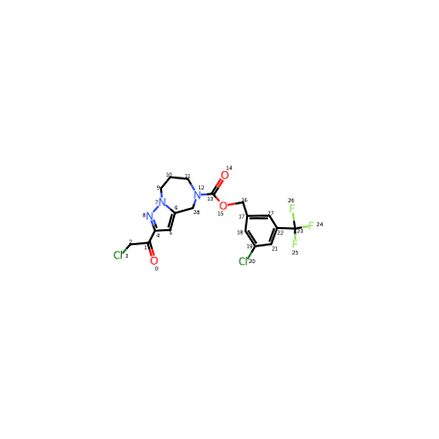 O=C(CCl)c1cc2n(n1)CCCN(C(=O)OCc1cc(Cl)cc(C(F)(F)F)c1)C2